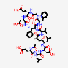 CC(=O)N[C@@H](CCC(=O)O)C(=O)N[C@@H](CC(C)C)C(=O)N[C@@H](CC(=O)O)C(=O)N[C@@H](CC(C)C)[C@@H](O)C[C@@H](C)C(=O)N[C@H](C(=O)N[C@@H](Cc1ccccc1)C(=O)N[C@@H](Cc1ccccc1)C(=O)N[C@@H](C)C(=O)N[C@@H](CCC(=O)O)C(=O)N[C@@H](CC(=O)O)C(N)=O)C(C)C